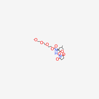 COCCOCCOCCOC(=O)N[C@@H](CC(C)C)C(=O)ON1C(=O)CCC1=O